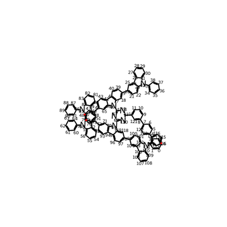 c1ccc(-c2ccc(-c3cccc(-c4nc(-n5c6cc(-c7ccc8c(c7)c7ccccc7n8-c7ccccc7)ccc6c6ccc(-c7ccc8c(c7)c7ccccc7n8-c7ccccc7)cc65)nc(-n5c6cc(-c7ccc8c(c7)c7ccccc7n8-c7ccccc7)ccc6c6ccc(-c7ccc8c(c7)c7ccccc7n8-c7ccccc7)cc65)n4)c3)cc2)cc1